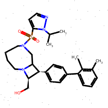 Cc1cccc(-c2ccc([C@H]3C4CN(S(=O)(=O)c5ccnn5C(C)C)CCCCN4[C@@H]3CO)cc2)c1C